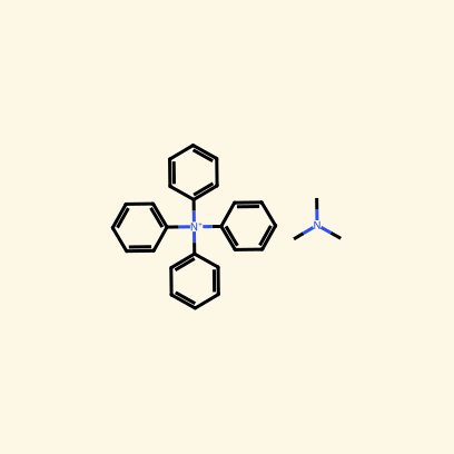 CN(C)C.c1ccc([N+](c2ccccc2)(c2ccccc2)c2ccccc2)cc1